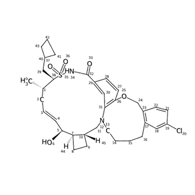 C[C@H]1C/C=C/[C@H](O)[C@@H]2CC[C@H]2CN2CCCCc3cc(Cl)ccc3COc3ccc(cc32)C(=O)NS(=O)(=O)[C@@H]1CC1CCC1